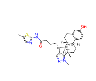 Cc1cnc(NC(=O)CCC[C@H]2c3cnn(C)c3[C@@]3(C)CC[C@@H]4c5ccc(O)cc5CC[C@H]4[C@H]23)s1